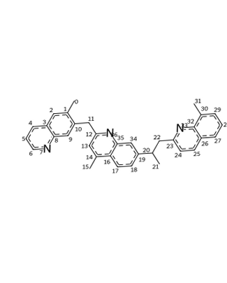 Cc1cc2cccnc2cc1Cc1cc(C)c2ccc(C(C)Cc3ccc4cccc(C)c4n3)cc2n1